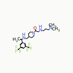 C=C(NCC1CCN(C(=O)CNCCCN(C)C)CC1)c1cc(C(F)(F)F)cc(C(F)(F)F)c1